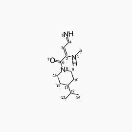 CN/C(=C\C=N)C(=O)N1CCC(C(C)C)CC1